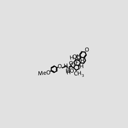 COc1ccc(OCCNC(=O)[C@@]2(O)[C@H](C)C[C@H]3[C@@H]4CCC5=CC(=O)C=C[C@]5(C)[C@@]4(F)[C@@H](O)C[C@@]32C)cc1